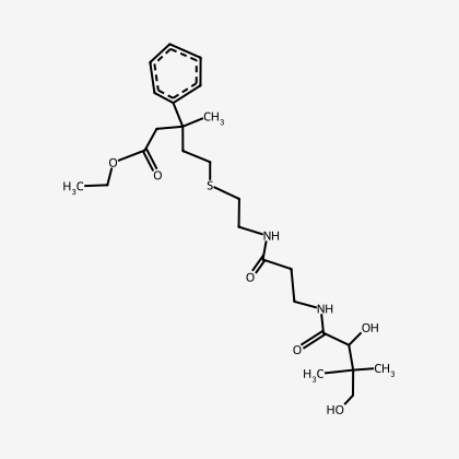 CCOC(=O)CC(C)(CCSCCNC(=O)CCNC(=O)C(O)C(C)(C)CO)c1ccccc1